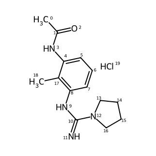 CC(=O)Nc1cccc(NC(=N)N2CCCC2)c1C.Cl